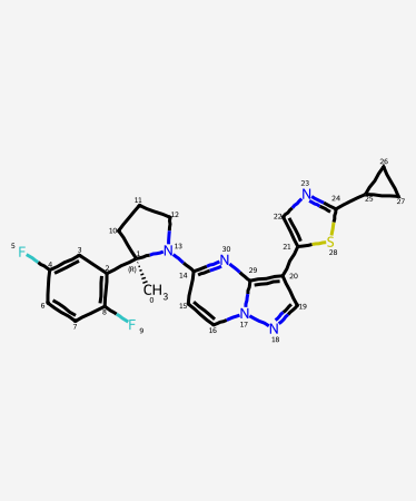 C[C@]1(c2cc(F)ccc2F)CCCN1c1ccn2ncc(-c3cnc(C4CC4)s3)c2n1